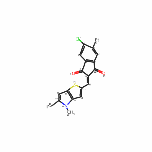 CCc1cc2c(cc1Cl)C(=O)/C(=C\c1cc3c(cc(C(C)C)n3C)s1)C2=O